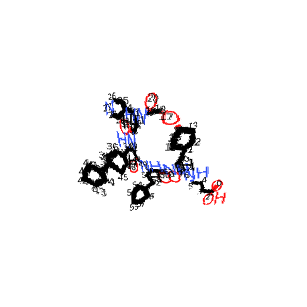 O=C(O)CCCNC(=O)[C@H]1Cc2ccc(cc2)OCC(=O)N[C@@H](Cc2ccncc2)C(=O)N[C@H](Cc2ccc(-c3ccccc3)cc2)C(=O)N[C@@H](CCc2ccccc2)C(=O)N1